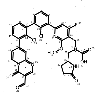 COc1nc(-c2cccc(-c3cccc(-c4ccn5c(=O)c(C=O)cnc5c4)c3Cl)c2Cl)cc(F)c1CN(C[C@@H]1CCC(=O)N1)C(=O)O